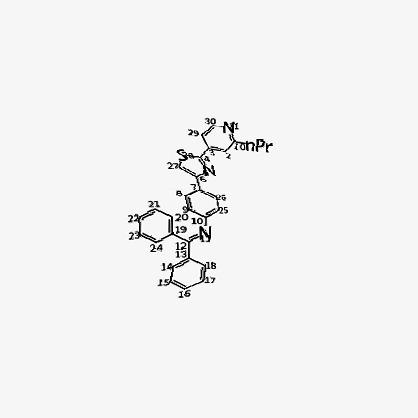 CCCc1cc(-c2nc(-c3ccc(N=C(c4ccccc4)c4ccccc4)cc3)cs2)ccn1